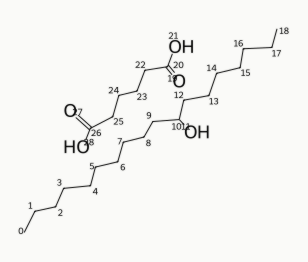 CCCCCCCCCCC(O)CCCCCCC.O=C(O)CCCCC(=O)O